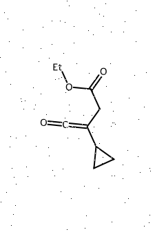 CCOC(=O)CC(=C=O)C1CC1